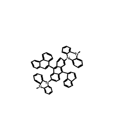 CN1c2ccccc2N(c2ccc3c(-c4cc5ccccc5c5ccccc45)c4cc(N5c6ccccc6N(C)c6ccccc65)ccc4c(-c4cccc5ccccc45)c3c2)c2ccccc21